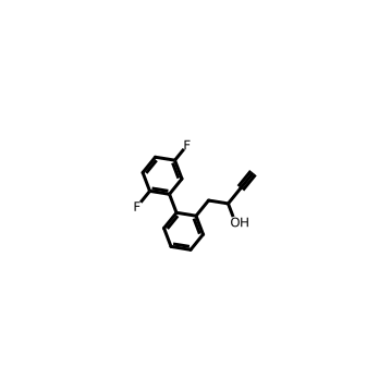 C#CC(O)Cc1ccccc1-c1cc(F)ccc1F